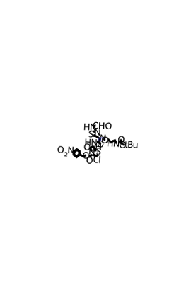 CC(C)(C)OC(=O)NCCCO/N=C(\C(=O)NC1C(=O)N2C(C(=O)OCc3ccc([N+](=O)[O-])cc3)=C(Cl)CS[C@H]12)c1csc(NC=O)n1